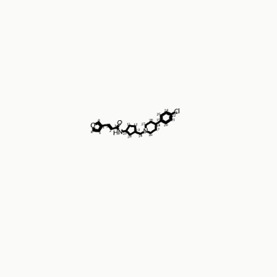 O=C(/C=C/c1ccoc1)NC1CCC(CN2CCC(c3ccc(Cl)cc3)CC2)C1